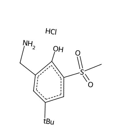 CC(C)(C)c1cc(CN)c(O)c(S(C)(=O)=O)c1.Cl